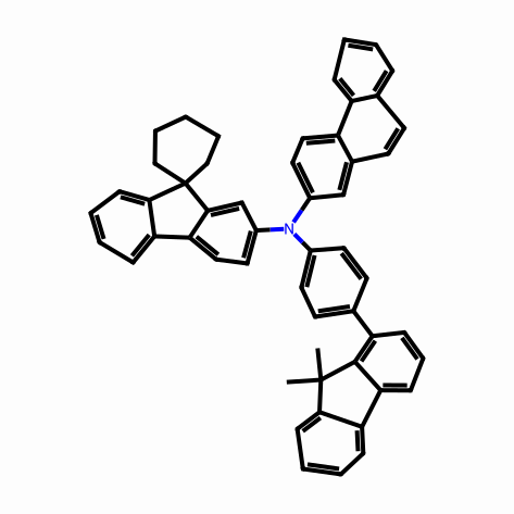 CC1(C)c2ccccc2-c2cccc(-c3ccc(N(c4ccc5c(c4)C4(CCCCC4)c4ccccc4-5)c4ccc5c(ccc6ccccc65)c4)cc3)c21